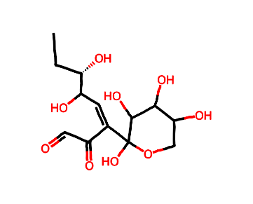 CC[C@H](O)C(O)/C=C(\C(=O)C=O)C1(O)OCC(O)C(O)C1O